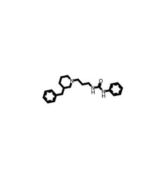 O=C(NCCCN1CCCC(Cc2ccccc2)C1)Nc1ccccc1